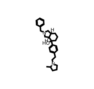 CC1CCCN1CCc1ccc(C2(O)CCC[C@H]3CN(Cc4ccccc4)C[C@H]32)cc1